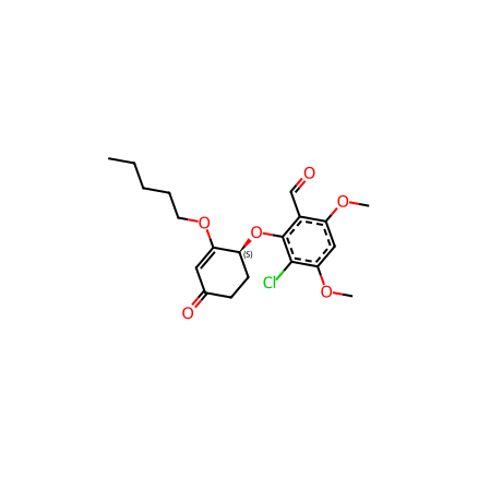 CCCCCOC1=CC(=O)CC[C@@H]1Oc1c(Cl)c(OC)cc(OC)c1C=O